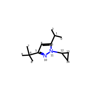 CC(C)c1cc(C(C)(C)C)nn1C1CC1